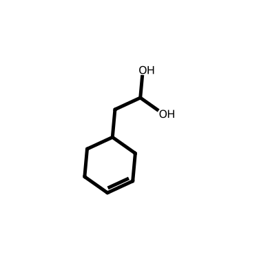 OC(O)CC1CC=CCC1